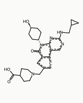 O=C(O)C1CCN(Cc2ccc3c(c2)c(=O)n([C@H]2CC[C@H](O)CC2)c2nc(NCC4CC4)ncc32)CC1